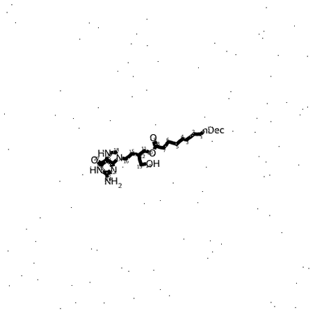 CCCCCCCCCCCCCCCCCC(=O)OCC(CO)CCN1CNc2c1nc(N)[nH]c2=O